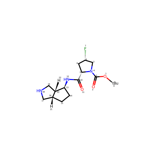 CC(C)(C)OC(=O)N1C[C@@H](F)C[C@H]1C(=O)N[C@H]1CC[C@@H]2CNC[C@@H]21